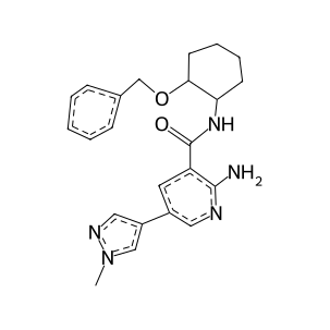 Cn1cc(-c2cnc(N)c(C(=O)NC3CCCCC3OCc3ccccc3)c2)cn1